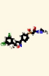 O=C(C[S+]([O-])c1ccc(C2=NOC(c3cc(Cl)cc(Cl)c3)(C(F)(F)F)C2)cc1)NCC(F)(F)F